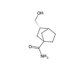 NC(=O)C12[CH][C@H](CO)C(CC1)C2